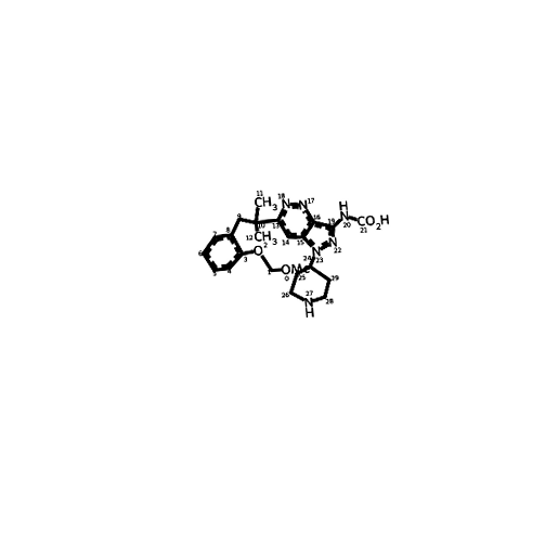 COCOc1ccccc1CC(C)(C)c1cc2c(nn1)c(NC(=O)O)nn2C1CCNCC1